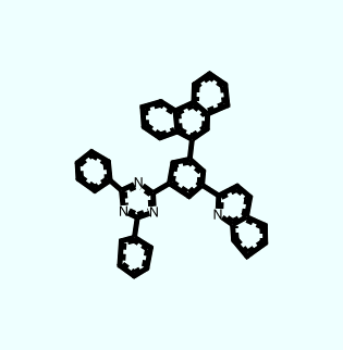 c1ccc(-c2nc(-c3ccccc3)nc(-c3cc(-c4ccc5ccccc5n4)cc(-c4cc5ccccc5c5ccccc45)c3)n2)cc1